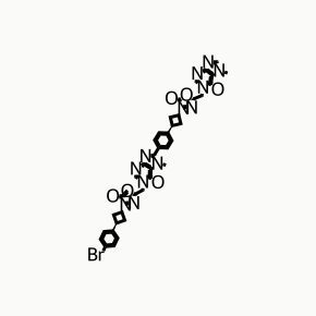 Cn1cnc2ncn(Cc3nn([C@H]4C[C@H](c5ccc(-c6nc7ncn(Cc8nn([C@H]9C[C@H](c%10ccc(Br)cc%10)C9)c(=O)o8)c(=O)c7n6C)cc5)C4)c(=O)o3)c(=O)c21